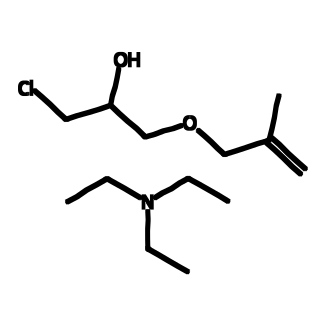 C=C(C)COCC(O)CCl.CCN(CC)CC